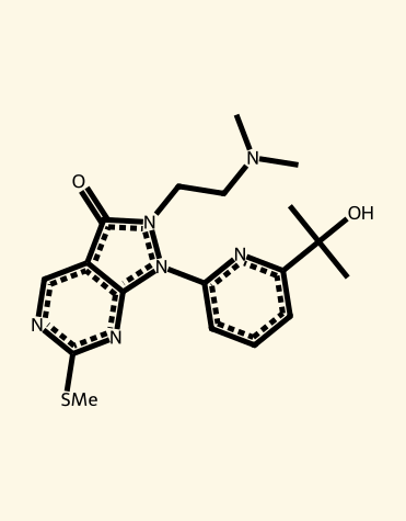 CSc1ncc2c(=O)n(CCN(C)C)n(-c3cccc(C(C)(C)O)n3)c2n1